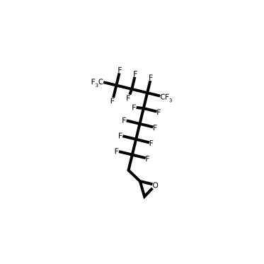 FC(F)(F)C(F)(F)C(F)(F)C(F)(C(F)(F)F)C(F)(F)C(F)(F)C(F)(F)C(F)(F)CC1CO1